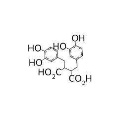 O=C(O)C(Cc1ccc(O)c(O)c1)C(Cc1ccc(O)c(O)c1)C(=O)O